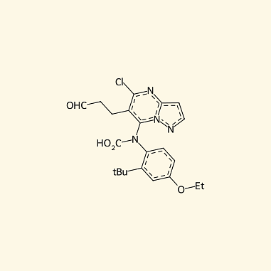 CCOc1ccc(N(C(=O)O)c2c(CCC=O)c(Cl)nc3ccnn23)c(C(C)(C)C)c1